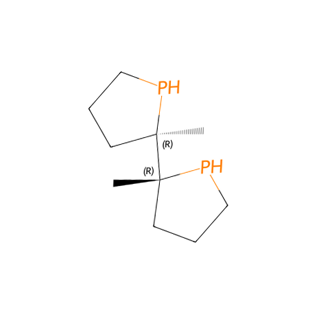 C[C@]1([C@@]2(C)CCCP2)CCCP1